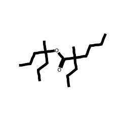 CCCCC(C)(CCC)C(=O)OC(C)(CCC)CCC